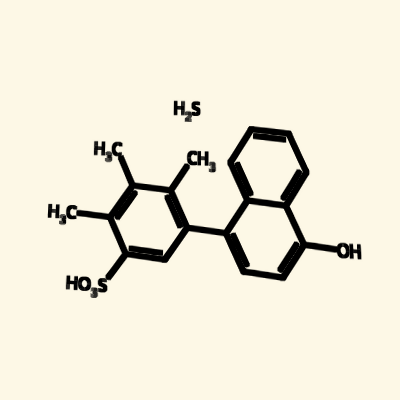 Cc1c(-c2ccc(O)c3ccccc23)cc(S(=O)(=O)O)c(C)c1C.S